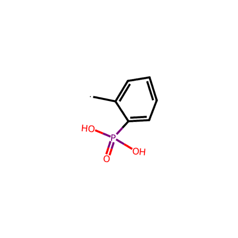 [CH2]c1ccccc1P(=O)(O)O